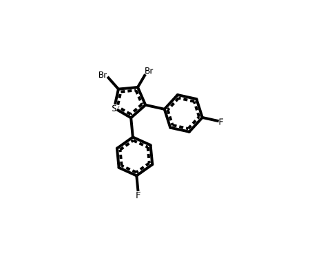 Fc1ccc(-c2sc(Br)c(Br)c2-c2ccc(F)cc2)cc1